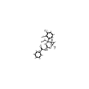 O=C(NC1=N[C@](CF)(c2cccc(F)c2F)[C@H]2C[C@H]2O1)c1ccccc1